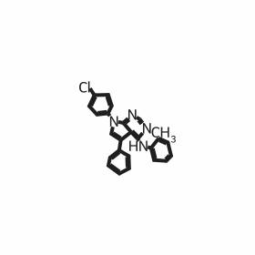 Cc1ccccc1Nc1ncnc2c1c(-c1ccccc1)cn2-c1ccc(Cl)cc1